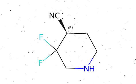 N#C[C@H]1CCNCC1(F)F